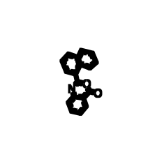 O=c1oc(-c2cccc3ccccc23)nc2ccccc12